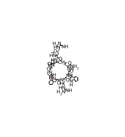 CC(=O)N[C@@H](CCCNC(=N)N)C(=O)N[C@H]1CSSC[C@@H](C(N)=O)NC(=O)[C@H](Cc2c[nH]c3ccccc23)NC(=O)[C@H](CCCNC(=N)N)NC(=O)[C@@H](Cc2ccccc2)NC(=O)[C@@H]2CCCN2C(=O)[C@@H](CO)NC1=O